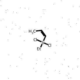 C/C=C\[Si](Cl)(Cl)CC